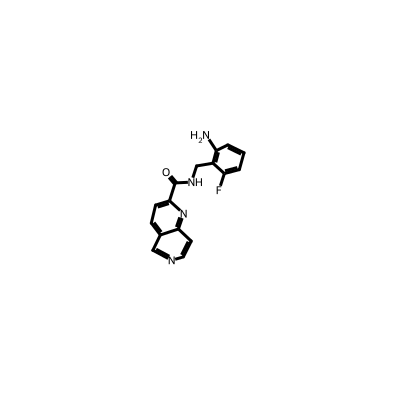 Nc1cccc(F)c1CNC(=O)c1ccc2cnccc2n1